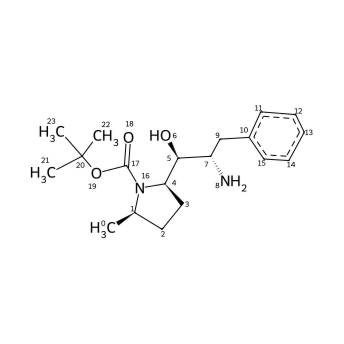 C[C@@H]1CC[C@H]([C@@H](O)[C@@H](N)Cc2ccccc2)N1C(=O)OC(C)(C)C